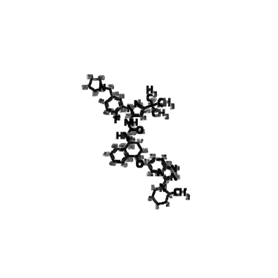 CC1CCCCN1c1nnc2ccc(O[C@@H]3CC[C@H](NC(=O)Nc4cc(C(C)(C)C)nn4-c4cc(CN5CCCC5)ccc4F)c4ccccc43)cn12